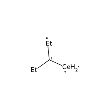 CC[CH]([GeH2])CC